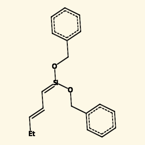 CCC=CC=[Si](OCc1ccccc1)OCc1ccccc1